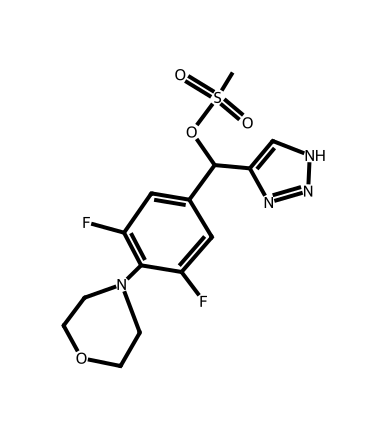 CS(=O)(=O)OC(c1cc(F)c(N2CCOCC2)c(F)c1)c1c[nH]nn1